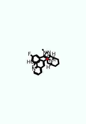 Cn1nc2c(c1-c1cc(F)cc(F)c1)C[C@@H]1CCC[C@H]2N1C(=O)c1cc(O)c2ncccc2c1